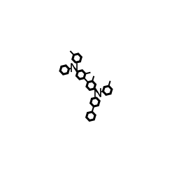 Cc1cccc(N(c2ccccc2)c2ccc(-c3ccc(N(c4ccc(-c5ccccc5)cc4)c4cccc(C)c4)cc3C)c(C)c2)c1